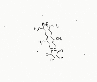 CC(C)=CC/C=C(\C)CCOC(=O)CC(C)C.CC(C)=CCC/C(C)=C/COC(=O)CC(C)C